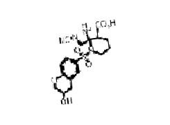 N#CN=CC1(N)C(C(=O)O)CCCN1S(=O)(=O)c1ccc2c(c1)CC(O)CO2